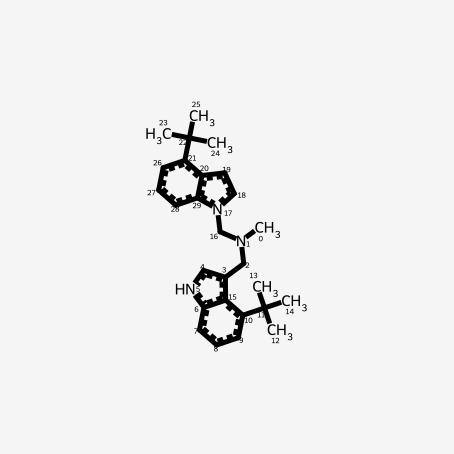 CN(Cc1c[nH]c2cccc(C(C)(C)C)c12)Cn1ccc2c(C(C)(C)C)cccc21